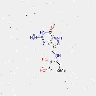 CSC[C@H](NCc1c[nH]c2c(=O)[nH]c(N)nc12)[C@@H](O)CO